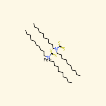 CCCCCCCCCCN(CCCCCCCCCC)C(=S)[S-].CCCCCCCCCCN(CCCCCCCCCC)C(=S)[S-].[Fe+2]